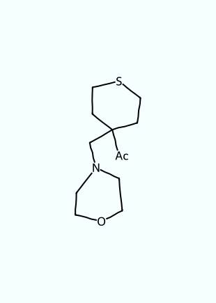 CC(=O)C1(CN2CCOCC2)CCSCC1